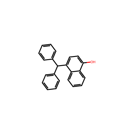 Oc1ccc(C(c2ccccc2)c2ccccc2)c2ccccc12